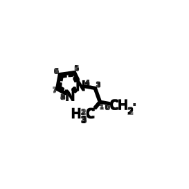 [CH2]C(C)Cn1cccn1